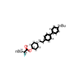 CCCCc1ccc(-c2ccc(CC[C@H]3CC[C@H](OC(=O)[C@@H](F)CCCC)CC3)cc2)cc1